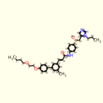 CCCCOCCOc1ccc(-c2cc(C)cc(/C=C/C(=O)Nc3ccc([S+]([O-])Cc4cncn4CCC)cc3)c2)cc1